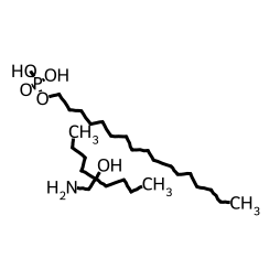 CCCCC(O)(CN)CCCC.CCCCCCCCCCCCCCCCCOP(=O)(O)O